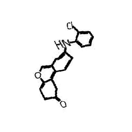 O=C1CC=C2OC=c3cc(Nc4ccccc4Cl)ccc3=C2C1